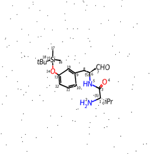 CC(C)[C@H](N)C(=O)N[C@H](C=O)Cc1cccc(O[Si](C)(C)C(C)(C)C)c1